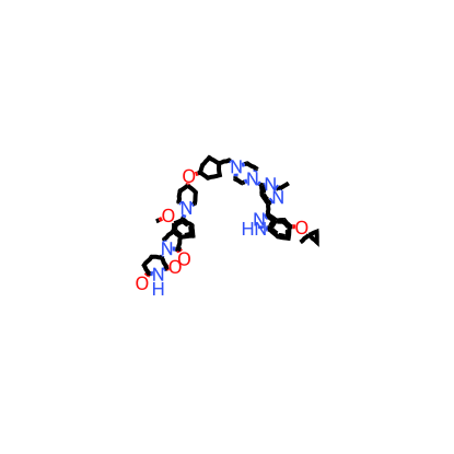 COc1c(N2CCC(OC3CCC(CN4CCN(c5cc(-c6n[nH]c7ccc(OC8(C)CC8)cc67)nc(C)n5)CC4)CC3)CC2)ccc2c1CN(C1CCC(=O)NC1=O)C2=O